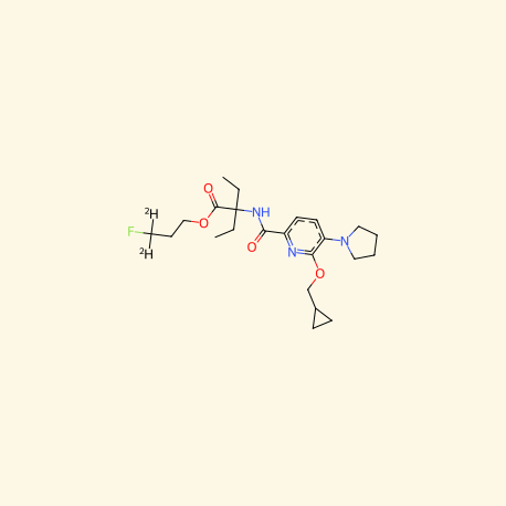 [2H]C([2H])(F)CCOC(=O)C(CC)(CC)NC(=O)c1ccc(N2CCCC2)c(OCC2CC2)n1